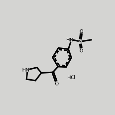 CS(=O)(=O)Nc1ccc(C(=O)C2CCNC2)cc1.Cl